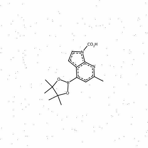 Cc1cc(B2OC(C)(C)C(C)(C)O2)c2ccn(C(=O)O)c2n1